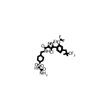 CCn1nc(C(=O)NCC2CCC(S(=O)(=O)NC(N)=O)CC2)c(Cl)c1-c1ccc(CC(C)(C)C(F)(F)F)cc1OC(F)F